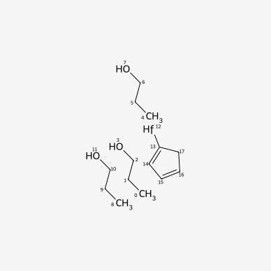 CCCO.CCCO.CCCO.[Hf][C]1=CC=CC1